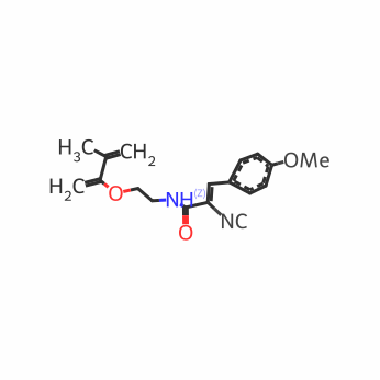 [C-]#[N+]/C(=C\c1ccc(OC)cc1)C(=O)NCCOC(=C)C(=C)C